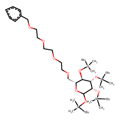 CC(C)(C)[Si](C)(C)OC1O[C@H](COCCOCCOCCOCc2ccccc2)[C@@H](O[Si](C)(C)C(C)(C)C)[C@H](O[Si](C)(C)C(C)(C)C)[C@@H]1O[Si](C)(C)C(C)(C)C